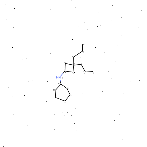 CCCC1(CCC)CC(NC2CCCCC2)C1